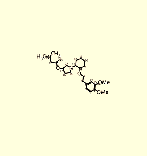 COc1ccc(CCO[C@H]2CCCCC2N2CCC(OC(=O)CN(C)C)C2)cc1OC